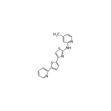 Cc1ccnc(Nc2nc(-c3ccc(-c4ccccn4)s3)cs2)c1